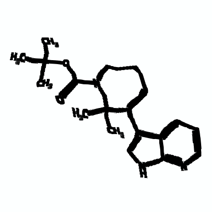 CC(C)(C)OC(=O)N1CCC=C(c2c[nH]c3ncccc23)C1(C)C